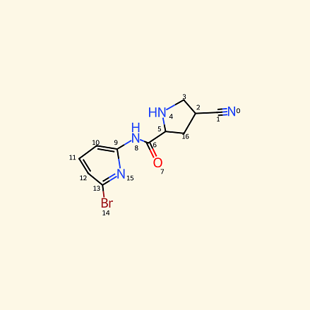 N#CC1CNC(C(=O)Nc2cccc(Br)n2)C1